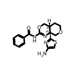 Nc1csc([C@]23COCC[C@H]2COC(NC(=O)c2ccccc2)=N3)n1